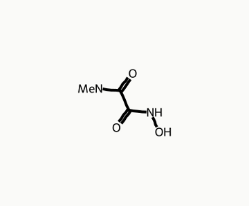 CNC(=O)C(=O)NO